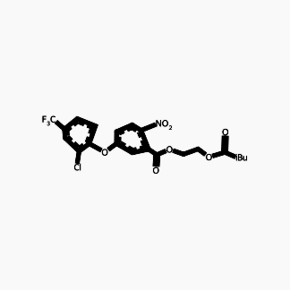 CCC(C)C(=O)OCCOC(=O)c1cc(Oc2ccc(C(F)(F)F)cc2Cl)ccc1[N+](=O)[O-]